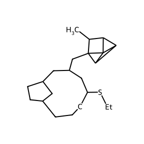 CCSC1CCCC2CCC(C2)CC(CC23C(C)C4C5C2C453)C1